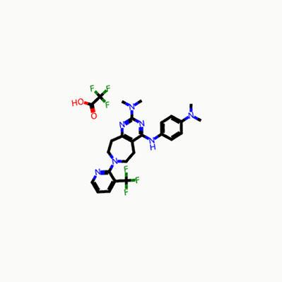 CN(C)c1ccc(Nc2nc(N(C)C)nc3c2CCN(c2ncccc2C(F)(F)F)CC3)cc1.O=C(O)C(F)(F)F